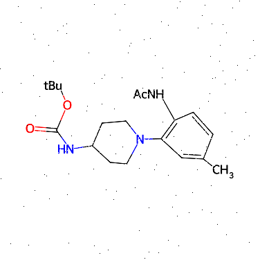 CC(=O)Nc1ccc(C)cc1N1CCC(NC(=O)OC(C)(C)C)CC1